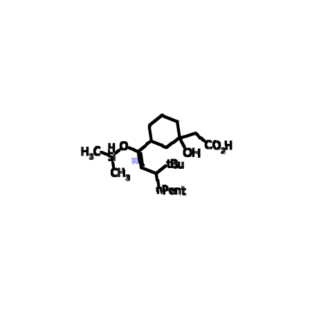 CCCCCC(/C=C(/O[SiH](C)C)C1CCCC(O)(CC(=O)O)C1)C(C)(C)C